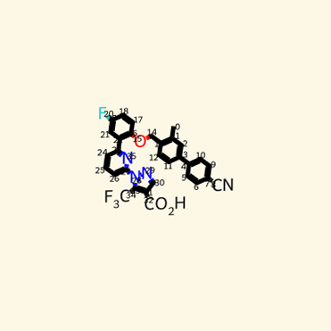 Cc1cc(-c2ccc(C#N)cc2)ccc1COc1ccc(F)cc1-c1cccc(-n2ncc(C(=O)O)c2C(F)(F)F)n1